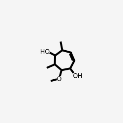 COC1C(O)C=CC(C)C(O)C1C